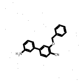 N#Cc1ccc(-c2cccc(N)c2)cc1OCc1ccccc1